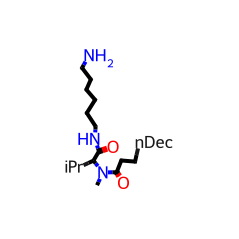 CCCCCCCCCCCCC(=O)N(C)C(C(=O)NCCCCCCN)C(C)C